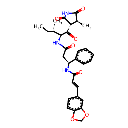 CC[C@H](C)[C@H](NC(=O)C[C@H](NC(=O)/C=C/c1ccc2c(c1)OCO2)c1ccccc1)C(=O)[C@@H]1C(=O)NC(=O)[C@H]1C